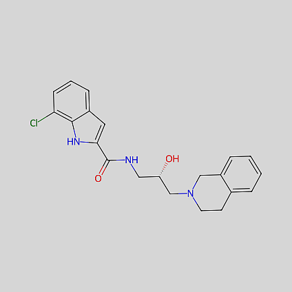 O=C(NC[C@H](O)CN1CCc2ccccc2C1)c1cc2cccc(Cl)c2[nH]1